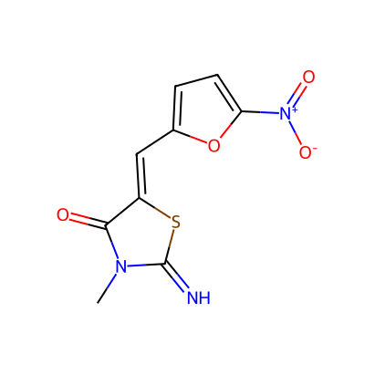 CN1C(=N)SC(=Cc2ccc([N+](=O)[O-])o2)C1=O